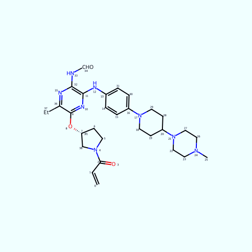 C=CC(=O)N1CC[C@@H](Oc2nc(Nc3ccc(N4CCC(N5CCN(C)CC5)CC4)cc3)c(NC=O)nc2CC)C1